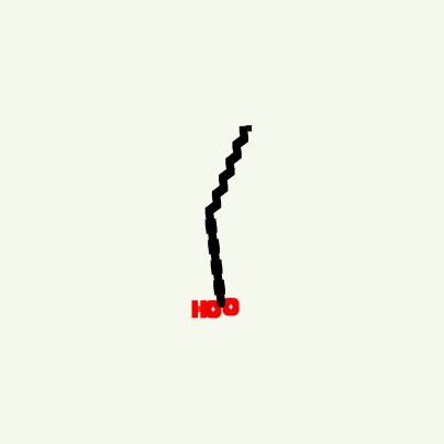 [CH2]CCCCCCCCCCC#CC#CC#CC#CC(=O)O